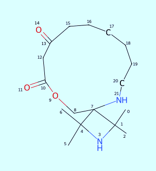 CC1(C)NC(C)(C)C12COC(=O)CC(=O)CCCCCCN2